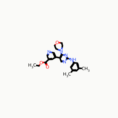 CCOC(=O)c1cncc(-c2cnc(Nc3cc(C)cc(C)c3)nc2N2CCOCC2)c1